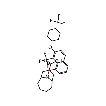 O=C(O)C1CC2CCCCC(C1)N2Cc1cccc2ccc(O[C@H]3CC[C@@H](C(F)(F)F)CC3)c(C(F)(F)F)c12